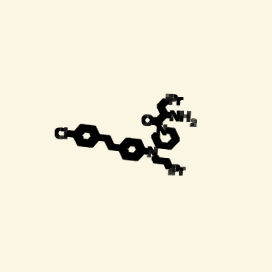 CC(C)CCN(c1ccc(CCc2ccc(Cl)cc2)cc1)[C@H]1CCCN(C(=O)C(N)CC(C)C)C1